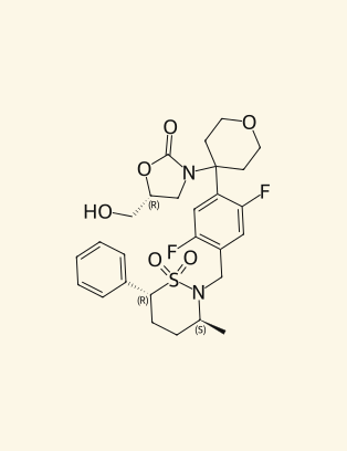 C[C@H]1CC[C@H](c2ccccc2)S(=O)(=O)N1Cc1cc(F)c(C2(N3C[C@H](CO)OC3=O)CCOCC2)cc1F